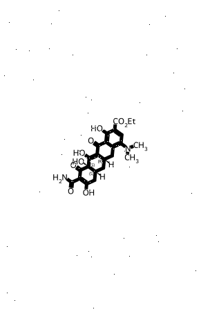 CCOC(=O)c1cc(N(C)C)c2c(c1O)C(=O)C1=C(O)[C@]3(O)C(=O)C(C(N)=O)=C(O)C[C@@H]3C[C@@H]1C2